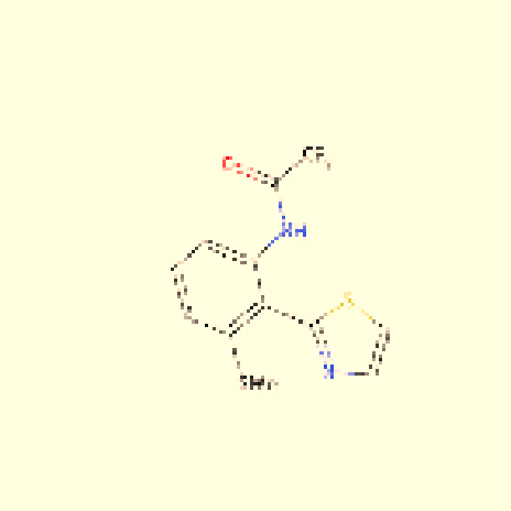 CSc1cccc(NC(=O)C(F)(F)F)c1-c1nccs1